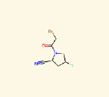 N#CC1CC(F)CN1C(=O)CBr